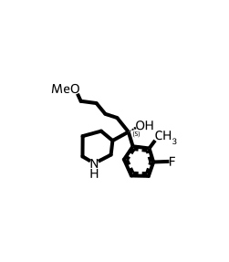 COCCCC[C@@](O)(c1cccc(F)c1C)C1CCCNC1